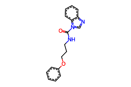 O=C(NCCCOc1ccccc1)n1cnc2ccccc21